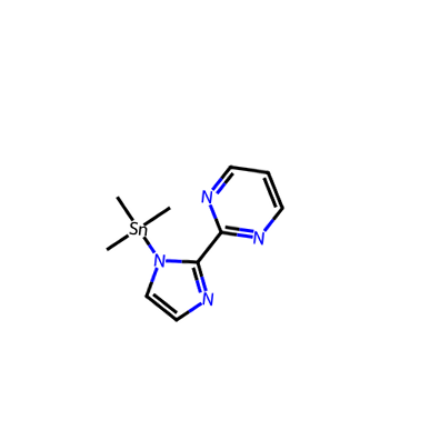 [CH3][Sn]([CH3])([CH3])[n]1ccnc1-c1ncccn1